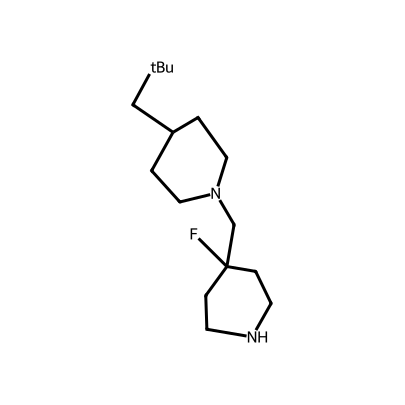 CC(C)(C)CC1CCN(CC2(F)CCNCC2)CC1